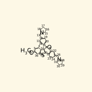 COc1ccc2c(C(=O)c3ccc(CN4CCCC4)cc3)c(-c3ccc(CN4CCCC4)cc3)sc2c1